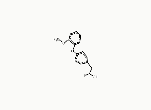 COc1ccccc1Oc1ccc([CH]C(O)F)cc1